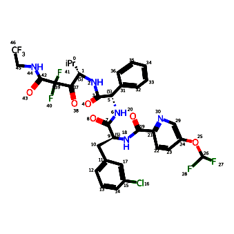 CC(C)[C@H](NC(=O)[C@@H](NC(=O)[C@H](Cc1cccc(Cl)c1)NC(=O)c1ccc(OC(F)F)cn1)c1ccccc1)C(=O)C(F)(F)C(=O)NCC(F)(F)F